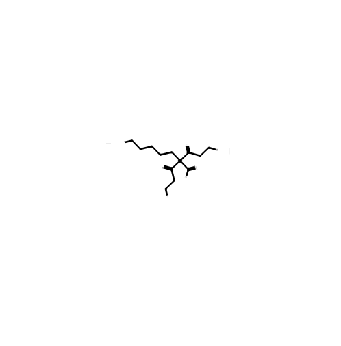 CCCCCCC(C(=O)O)(C(=S)CCC)C(=S)CCC